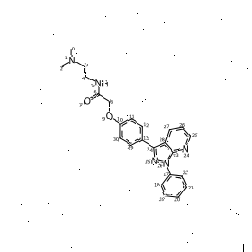 CN(C)CCNC(=O)COc1ccc(-c2nn(-c3ccccc3)c3ncccc23)cc1